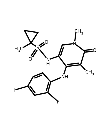 Cc1c(Nc2ccc(I)cc2F)c(NS(=O)(=O)C2(C)CC2)cn(C)c1=O